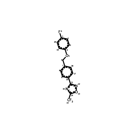 Fc1ccc(OCc2ccc(-c3noc(C(F)(F)F)n3)cc2)cc1